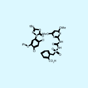 CC(C)Oc1cc(-n2nc(C(C)(C)C)oc2=O)c(Cl)cc1Cl.COc1cc(OC)nc(NC(=O)NS(=O)(=O)Cc2ccccc2C(=O)O)n1